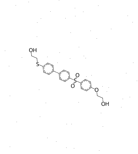 O=S(=O)(c1ccc(OCCO)cc1)c1ccc(-c2ccc(SCCO)cc2)cc1